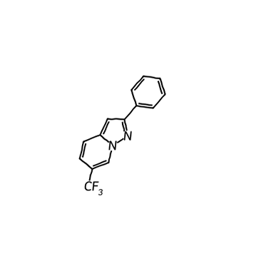 FC(F)(F)c1ccc2cc(-c3ccccc3)nn2c1